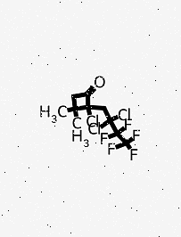 CC1(C)CC(=O)C1(Cl)CC(Cl)(Cl)C(F)(F)C(F)(F)F